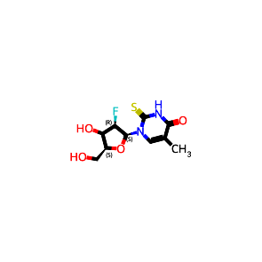 Cc1cn([C@H]2O[C@@H](CO)C(O)[C@H]2F)c(=S)[nH]c1=O